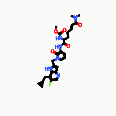 COC(=O)NC(CC/C=C/C(=O)N(C)C)C(=O)Nc1cccn(Cc2cc3ncc(F)c(CC4CC4)c3[nH]2)c1=O